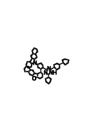 c1ccc(-c2ccc(C3=NC(c4ccc(-n5c6ccccc6c6cc7ccccc7cc65)cc4-c4cccc5oc6cc7ccccc7cc6c45)=NC(c4ccccc4)N3)cc2)cc1